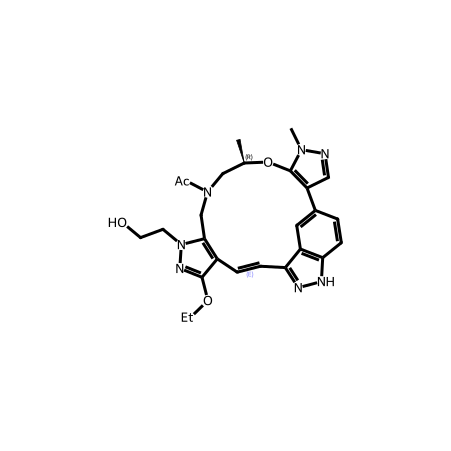 CCOc1nn(CCO)c2c1/C=C/c1n[nH]c3ccc(cc13)-c1cnn(C)c1O[C@H](C)CN(C(C)=O)C2